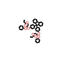 C=CC(=O)OC(CC)(Oc1ccccc1)Oc1ccc(C2(c3ccc(OC(CC)(OC(=O)C=C)Oc4ccccc4)cc3)c3ccccc3-c3ccccc32)cc1